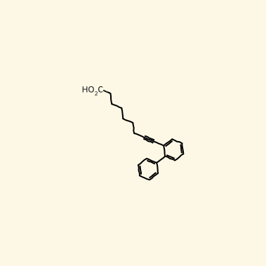 O=C(O)CCCCCCC#Cc1ccccc1-c1ccccc1